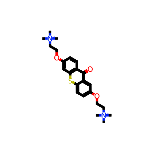 C[N+](C)(C)CCOc1ccc2c(=O)c3cc(OCC[N+](C)(C)C)ccc3sc2c1